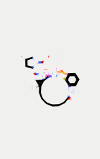 C[C@@H]1C[C@@H](C(=O)N[C@]23C[C@H]2CCCCCCC(=O)Nc2ccccc2S(=O)(=O)NC3=O)N(C(=O)OC(C)(C)C)C1